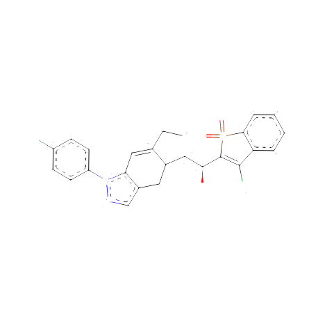 C[C@]12Cc3cnn(-c4ccc(F)cc4)c3C=C1CC[C@@H]2[C@H](O)C1=C(Br)c2ccccc2S1(=O)=O